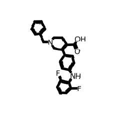 O=C(O)C1=C(c2ccc(Nc3c(F)cccc3F)cc2)CN(Cc2ccccc2)CC1